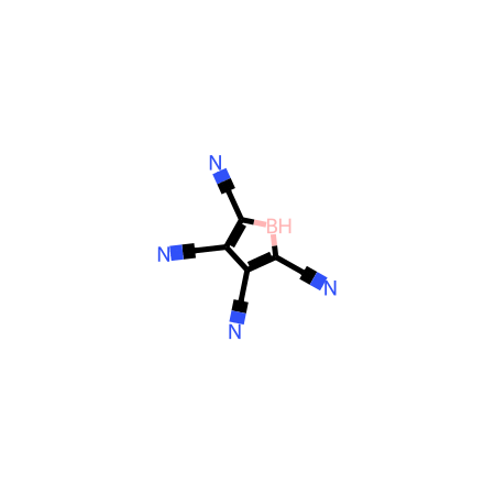 N#CC1=C(C#N)C(C#N)=C(C#N)B1